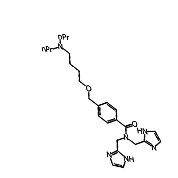 CCCN(CCC)CCCCOCc1ccc(C(=O)N(Cc2ncc[nH]2)Cc2ncc[nH]2)cc1